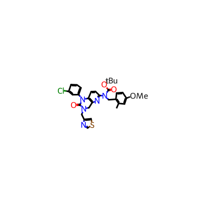 COc1ccc(CN(C(=O)OC(C)(C)C)c2ccc3c(n2)CN(Cc2cscn2)C(=O)N3c2cccc(Cl)c2)c(C)c1